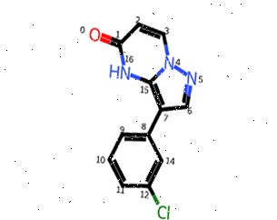 O=c1ccn2ncc(-c3cccc(Cl)c3)c2[nH]1